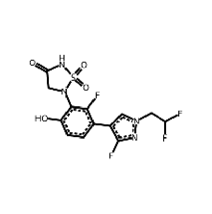 O=C1CN(c2c(O)ccc(-c3cn(CC(F)F)nc3F)c2F)S(=O)(=O)N1